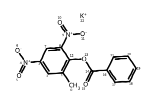 Cc1cc([N+](=O)[O-])cc([N+](=O)[O-])c1OC(=O)c1ccccc1.[K+]